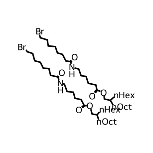 CCCCCCCCC(CCCCCC)COC(=O)CCCCCNC(=O)CCCCCCCBr.CCCCCCCCC(CCCCCC)COC(=O)CCCCCNC(=O)CCCCCCCBr